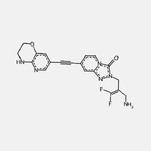 NCC(Cn1nc2cc(C#Cc3cnc4c(c3)OCCN4)ccn2c1=O)=C(F)F